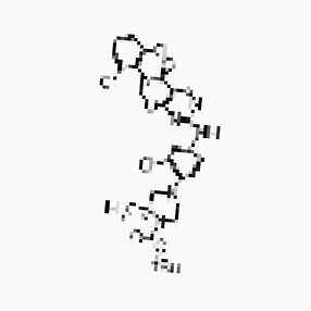 C[C@H]1CN(c2ccc(Nc3ncc4c(n3)OCN(c3c(Cl)cccc3Cl)C4=O)cc2Cl)CCN1C(=O)OC(C)(C)C